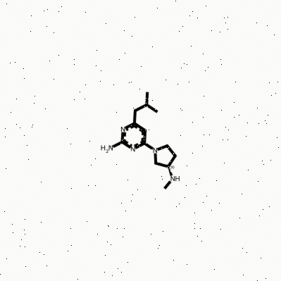 CN[C@@H]1CCN(c2cc(CC(C)C)nc(N)n2)C1